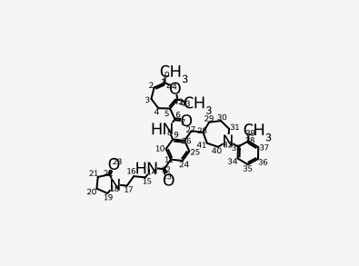 CC1=CCCC(C(=O)Nc2cc(C(=O)NCCCN3CCCC3=O)ccc2CC2CCCN(c3ccccc3C)CC2)=C(C)O1